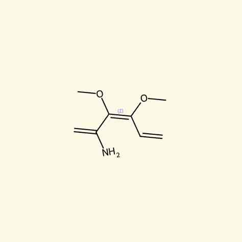 C=C/C(OC)=C(/OC)C(=C)N